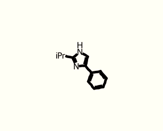 CC(C)c1nc(-c2ccccc2)c[nH]1